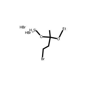 Br.Br.CCOC(C)(CCBr)O[SiH3]